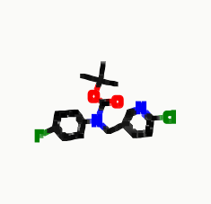 CC(C)(C)OC(=O)N(Cc1ccc(Cl)nc1)c1ccc(F)cc1